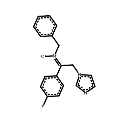 [O-]/[N+](Cc1ccccc1)=C(/Cn1ccnc1)c1ccc(F)cc1